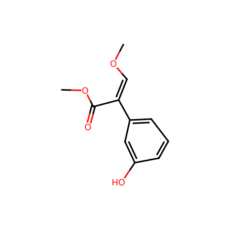 COC=C(C(=O)OC)c1cccc(O)c1